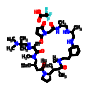 CC[C@H](C)[C@@H]([C@@H](CC(=O)N1CCC[C@H]1[C@H](OC)[C@@H](C)C(=O)N(C)CCc1cccc(NC[C@H](C)NC[C@H](C)NC(=O)CN2C(=O)C=CC2=O)c1)OC)N(C)C(=O)[C@@H](NCC(C)(C)N(C)C)C(C)C.O=C(O)C(F)(F)F